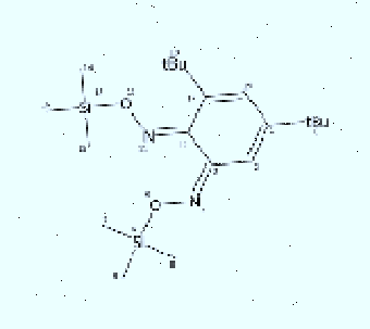 CC(C)(C)C1=CC(=NO[Si](C)(C)C)C(=NO[Si](C)(C)C)C(C(C)(C)C)=C1